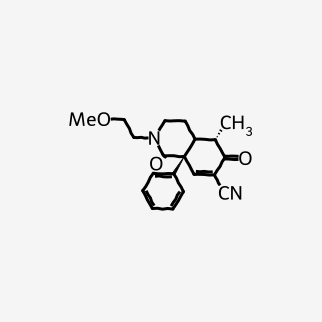 COCCN1CCC2[C@H](C)C(=O)C(C#N)=C[C@]2(c2ccccc2)C1=O